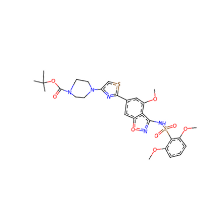 COc1cccc(OC)c1S(=O)(=O)Nc1noc2cc(-c3nc(N4CCN(C(=O)OC(C)(C)C)CC4)cs3)cc(OC)c12